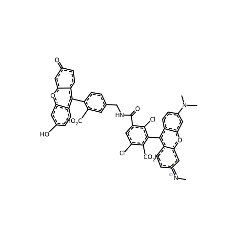 C/N=c1/ccc2c(-c3c(Cl)c(C(=O)NCc4ccc(-c5c6ccc(=O)cc-6oc6cc(O)ccc56)c(C(=O)O)c4)cc(Cl)c3C(=O)O)c3ccc(N(C)C)cc3oc-2c1